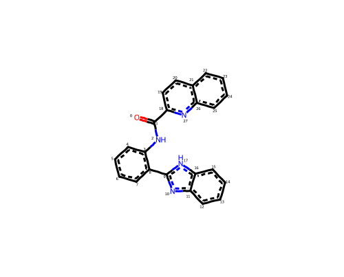 O=C(Nc1ccccc1-c1nc2ccccc2[nH]1)c1ccc2ccccc2n1